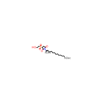 CCCCCCCCCCCCCCCCCCCC/C=C(\CCCCCCCCCC)N1C(=O)CC(S(=O)(=O)CCO)C1=O